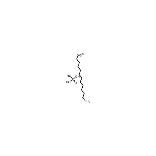 CCCCCCCCCCC[CH2][Mg+2].O=P(O)(O)O